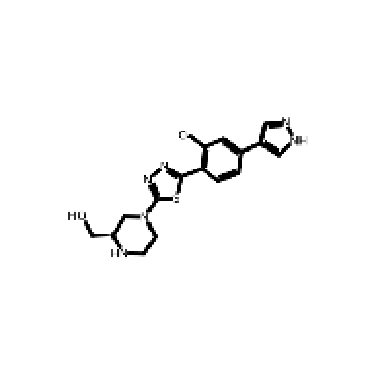 OC[C@H]1CN(c2nnc(-c3ccc(-c4cn[nH]c4)cc3Cl)s2)CCN1